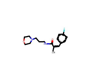 N#CC(=Cc1ccc(F)cc1)C(=O)NCCCN1CCOCC1